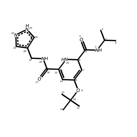 CC(C)NC(=O)C1C=C(OC(C)(C)C)C=C(C(=O)NCc2cn[nH]c2)N1